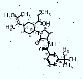 CCC(O)[C@@H]1C[C@H](N(C)C(C)C)CC[C@@H]1N1CCC(NC(=O)c2ccnc(C(C)(C)C)n2)C1=O